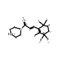 CC1=C(C=CC(=O)N2CCNCC2)C(C)(C)CCC1(F)F